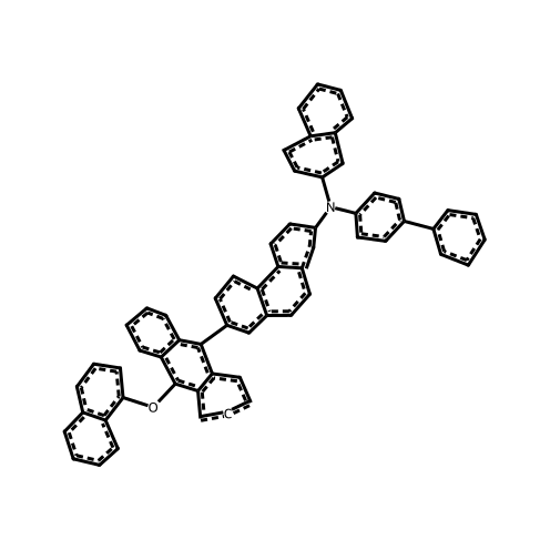 c1ccc(-c2ccc(N(c3ccc4ccccc4c3)c3ccc4c(ccc5cc(-c6c7ccccc7c(Oc7cccc8ccccc78)c7ccccc67)ccc54)c3)cc2)cc1